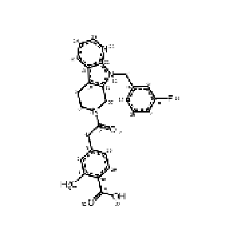 Cc1cc(CC(=O)N2CCc3c(n(Cc4cccc(F)c4)c4ncccc34)C2)ccc1C(=O)O